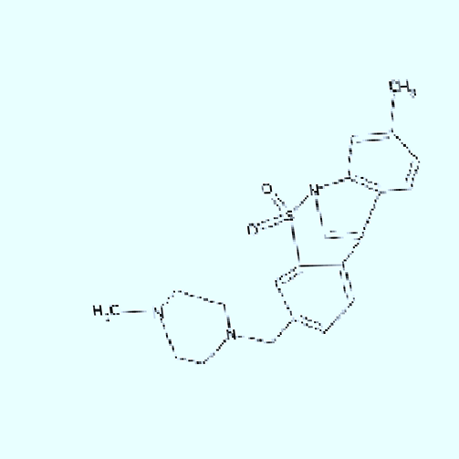 Cc1ccc2c3cn(c2c1)S(=O)(=O)c1cc(CN2CCN(C)CC2)ccc1-3